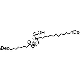 CCCCCCCCCCCCCCCCCCCCCCC(=O)O[Si](C)(C)OC(=O)CCCCCCCCCCCCCCCCC.OC=S